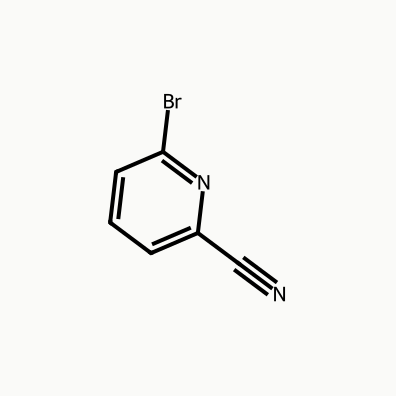 N#Cc1cccc(Br)n1